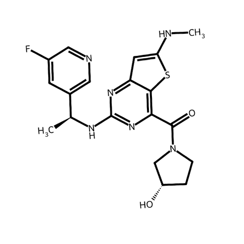 CNc1cc2nc(N[C@@H](C)c3cncc(F)c3)nc(C(=O)N3CC[C@H](O)C3)c2s1